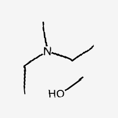 CCN(C)CC.CO